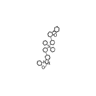 c1ccc([Si](c2ccccc2)(c2cccc(-c3ccc4nc5n(c4c3)-c3ccccc3OC5)c2)c2cccc(-c3cccc4c3oc3ccccc34)c2)cc1